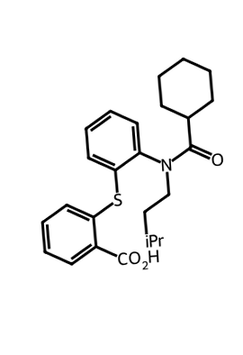 CC(C)CCN(C(=O)C1CCCCC1)c1ccccc1Sc1ccccc1C(=O)O